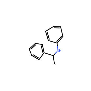 [CH2]C(Nc1ccccc1)c1cc[c]cc1